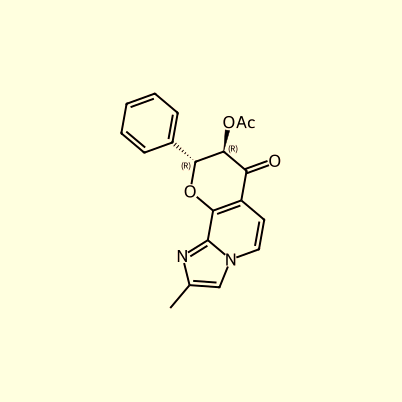 CC(=O)O[C@H]1C(=O)c2ccn3cc(C)nc3c2O[C@@H]1c1ccccc1